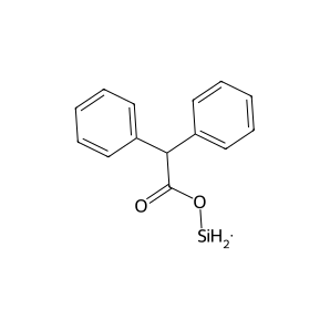 O=C(O[SiH2])C(c1ccccc1)c1ccccc1